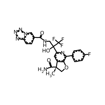 C[C@]1(C(N)=O)COc2c1cc(C(O)(CNC(=O)c1ccc3nnnn3c1)C(F)(F)F)nc2-c1ccc(F)cc1